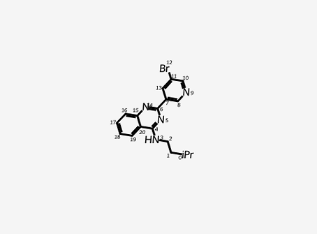 CC(C)CCNc1nc(-c2cncc(Br)c2)nc2ccccc12